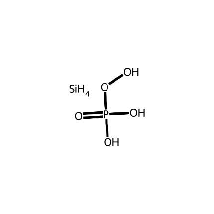 O=P(O)(O)OO.[SiH4]